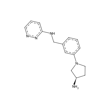 N[C@@H]1CCN(c2cccc(CNc3cccnn3)c2)C1